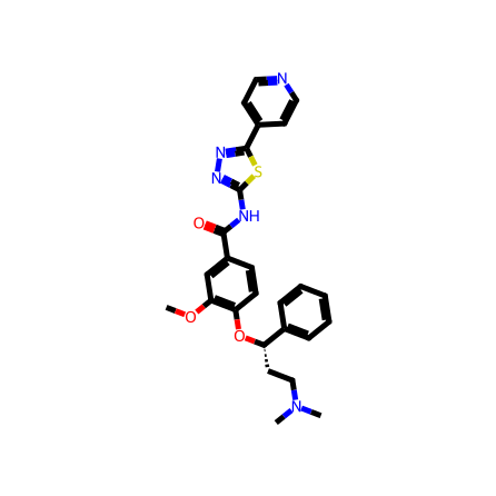 COc1cc(C(=O)Nc2nnc(-c3ccncc3)s2)ccc1O[C@@H](CCN(C)C)c1ccccc1